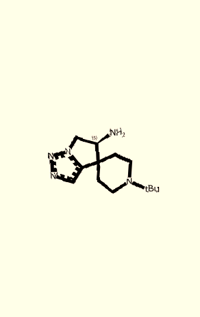 CC(C)(C)N1CCC2(CC1)c1cnnn1C[C@H]2N